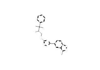 Cc1n[nH]c2ccc(-c3nnc(NCC(N)C(C)(C)c4ccccc4)s3)cc12